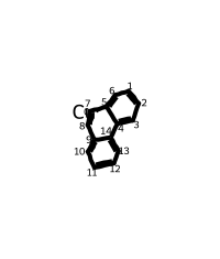 [Cu].c1ccc2c(c1)ccc1ccccc12